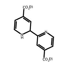 CCOC(=O)C1=CC(c2cc(C(=O)OCC)ccn2)NC=C1